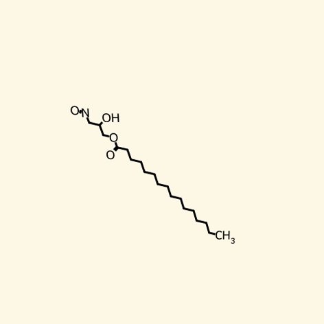 CCCCCCCCCCCCCCCC(=O)OCC(O)CN=O